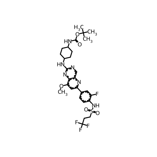 COc1cc(-c2ccc(NS(=O)(=O)CCC(F)(F)F)c(F)c2)nc2cnc(NC3CCC(NC(=O)OC(C)(C)C)CC3)nc12